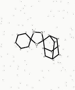 [CH]1CCCC2(C1)OOC1(O2)C2CC3CC(C2)CC1C3